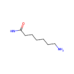 [NH]C(=O)CCCCCCN